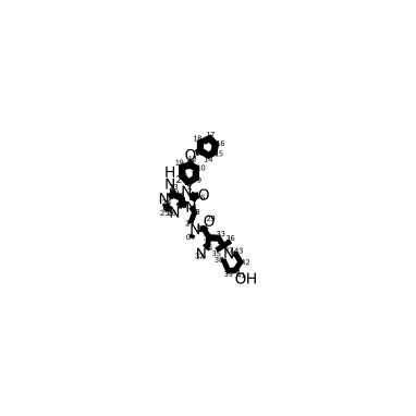 CN(CCn1c(=O)n(-c2ccc(Oc3ccccc3)cc2)c2c(N)ncnc21)C(=O)C(C#N)=CC(C)(C)N1CCC(O)CC1